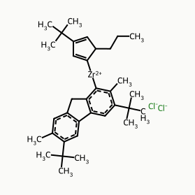 CCCC1C=C(C(C)(C)C)C=[C]1[Zr+2][c]1c(C)c(C(C)(C)C)cc2c1Cc1cc(C)c(C(C)(C)C)cc1-2.[Cl-].[Cl-]